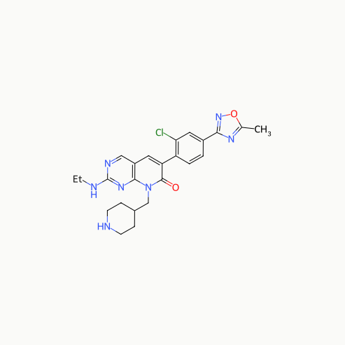 CCNc1ncc2cc(-c3ccc(-c4noc(C)n4)cc3Cl)c(=O)n(CC3CCNCC3)c2n1